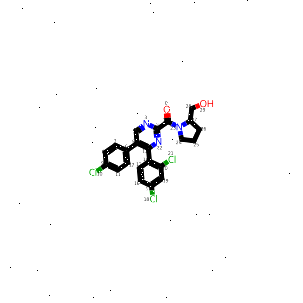 O=C(c1ncc(-c2ccc(Cl)cc2)c(-c2ccc(Cl)cc2Cl)n1)N1CCCC1CO